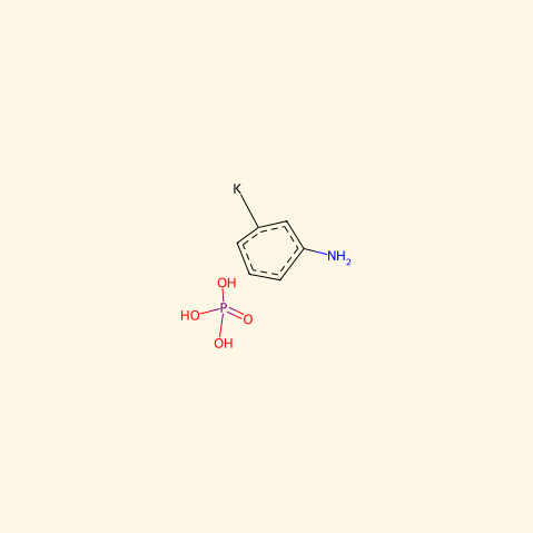 Nc1ccc[c]([K])c1.O=P(O)(O)O